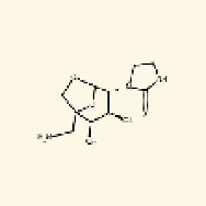 NC[C@@]12COC(O1)[C@H](N1CCNC1=S)[C@@H](O)[C@H]2O